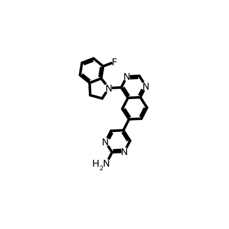 Nc1ncc(-c2ccc3ncnc(N4CCc5cccc(F)c54)c3c2)cn1